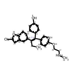 CC/C(=C(/c1ccc(O)cc1)c1ccc(OCCNC)nc1)c1ccc2oc(Cl)cc2c1